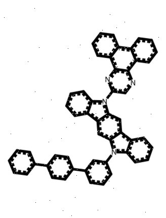 c1ccc(-c2ccc(-c3cccc(-n4c5ccccc5c5cc6c(cc54)c4ccccc4n6-c4cnc5c6ccccc6c6ccccc6c5n4)c3)cc2)cc1